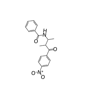 CC(NC(=O)c1ccccc1)C(C)C(=O)c1ccc([N+](=O)[O-])cc1